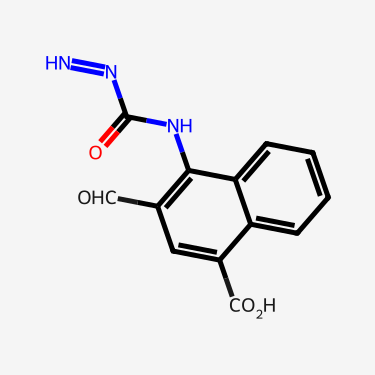 N=NC(=O)Nc1c(C=O)cc(C(=O)O)c2ccccc12